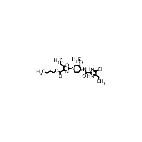 CCCCOC(=O)c1nc(N2CC[C@@H](NC(=O)c3nc(Cl)c(CC)[nH]3)[C@@H](OC)C2)oc1CC